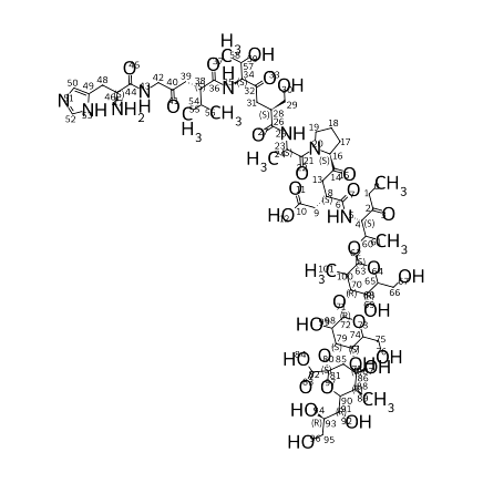 CCC(=O)[C@@H](NC(=O)[C@H](CC(=O)O)CC(=O)[C@@H]1CCCN1C(=O)[C@H](C)NC(=O)[C@H](CO)CC(=O)[C@@H](NC(=O)[C@@H](CC(=O)CNC(=O)[C@@H](N)Cc1cnc[nH]1)C(C)C)C(C)O)C(C)O[C@H]1OC(CO)[C@H](O)[C@H](O[C@@H]2OC(CO)[C@H](O)[C@H](O[C@]3(C(=O)O)C[C@@H](O)[C@@H](C)C([C@H](O)[C@H](O)CO)O3)C2O)C1C